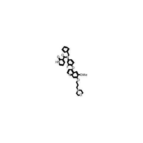 COc1cc2c(Oc3ccc(N(Cc4ccccc4)C(=O)c4ccc[nH]c4=O)cc3F)ccnc2cc1OCCCN1CCOCC1